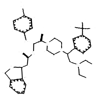 CCN(CC)CC(c1cccc(C(F)(F)F)c1)N1CCN(C(=O)[C@@H](Cc2ccc(Cl)cc2)NC(=O)CC2NCc3ccccc32)CC1